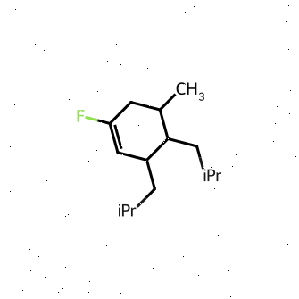 CC(C)CC1C=C(F)CC(C)C1CC(C)C